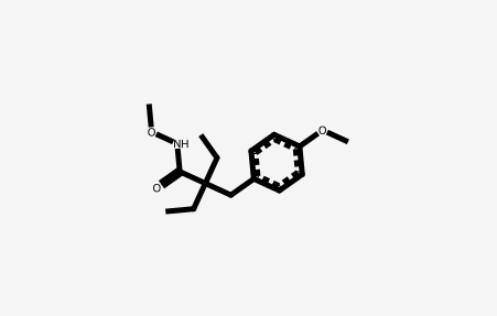 CCC(CC)(Cc1ccc(OC)cc1)C(=O)NOC